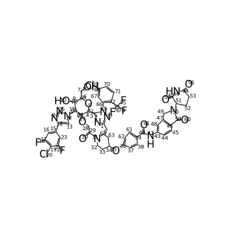 Cc1nc([C@@H]2O[C@H](CO)[C@H](O)[C@H](n3cc(-c4cc(F)c(Cl)c(F)c4)nn3)[C@H]2OCC(=O)N2CCC(Oc3ccc(C(=O)Nc4ccc5c(c4)CN(C4CCC(=O)NC4=O)C5=O)cc3)CC2)n(-c2cc(Cl)ccc2C(F)(F)F)n1